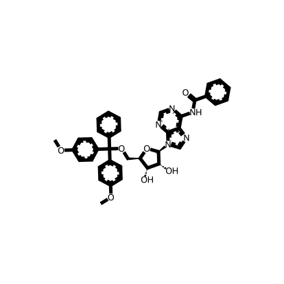 COc1ccc(C(OC[C@H]2O[C@@H](n3cnc4c(NC(=O)c5ccccc5)ncnc43)[C@H](O)[C@@H]2O)(c2ccccc2)c2ccc(OC)cc2)cc1